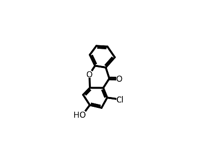 O=c1c2ccccc2oc2cc(O)cc(Cl)c12